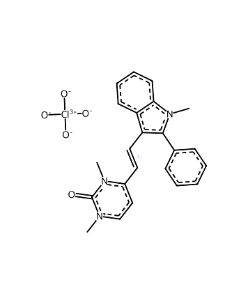 Cn1c(/C=C/c2c(-c3ccccc3)n(C)c3ccccc23)cc[n+](C)c1=O.[O-][Cl+3]([O-])([O-])[O-]